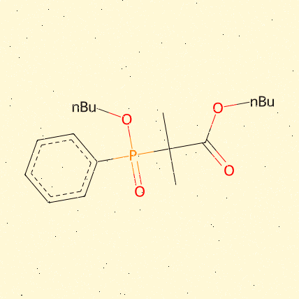 CCCCOC(=O)C(C)(C)P(=O)(OCCCC)c1ccccc1